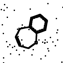 [C]1C=CCOc2ccccc21